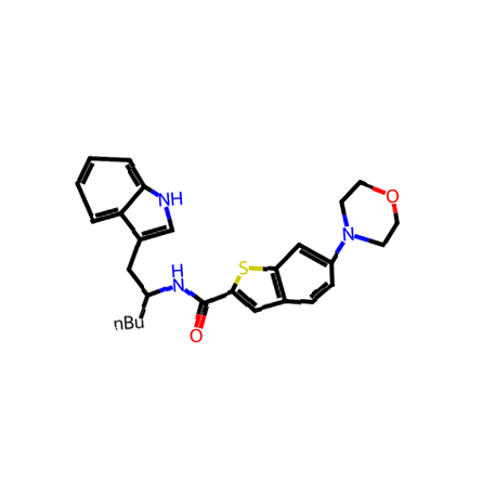 CCCCC(Cc1c[nH]c2ccccc12)NC(=O)c1cc2ccc(N3CCOCC3)cc2s1